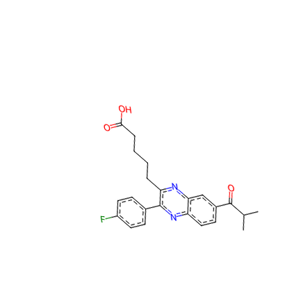 CC(C)C(=O)c1ccc2nc(-c3ccc(F)cc3)c(CCCCC(=O)O)nc2c1